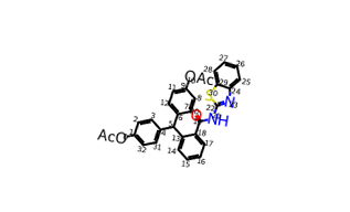 CC(=O)Oc1ccc(C(c2ccc(OC(C)=O)cc2)c2ccccc2C(=O)Nc2nc3ccccc3s2)cc1